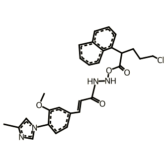 COc1cc(/C=C/C(=O)NNOC(=O)C(CCCCl)c2cccc3ccccc23)ccc1-n1cnc(C)c1